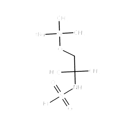 CCS(=O)(=O)NC(C)(C)CO[Si](C)(C)C(C)(C)C